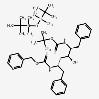 CC(C)(C)OC(=O)N[C@@H](Cc1ccccc1)[C@@H](O)C[C@H](Cc1ccccc1)NC(=O)OCc1cccnc1.CC(C)(C)[Si](C)(C)O[Si](C)(C)C(C)(C)C